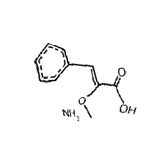 COC(=Cc1ccccc1)C(=O)O.N